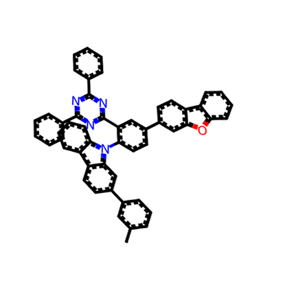 Cc1cccc(-c2ccc3c4ccccc4n(-c4ccc(-c5ccc6c(c5)oc5ccccc56)cc4-c4nc(-c5ccccc5)nc(-c5ccccc5)n4)c3c2)c1